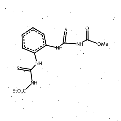 CCOC(=O)NC(=S)Nc1ccccc1NC(=S)NC(=O)OC